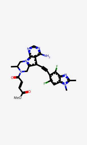 COC(=O)C=CC(=O)N1Cc2c(C#Cc3c(F)cc4c(nc(C)n4C)c3F)c3c(N)ncnc3n2CC1C